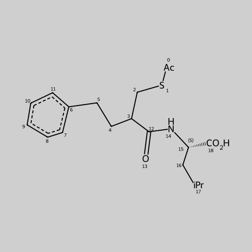 CC(=O)SCC(CCc1ccccc1)C(=O)N[C@@H](CC(C)C)C(=O)O